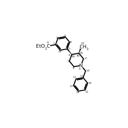 CCOC(=O)c1cccc([C@@H]2CCN(Cc3ccccc3)C[C@@H]2C)c1